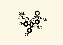 CCOc1cc(OC)c(S(=O)(=O)N2CCCCC2)cc1C1=N[C@@H](c2ccc(Cl)cc2)[C@@H](c2ccc(Cl)cc2)N1C(=O)N1CCN(CC[S+](C)[O-])CC1